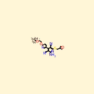 [2H]C([2H])([2H])O[C@H](C)COc1ccc(-c2c(C#N)c(N)nc(SCC3COC3)c2C#N)cn1